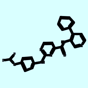 O=C(Nc1cnccc1-c1ccccc1)c1ccnc(Nc2ccc(OC(F)F)cc2)n1